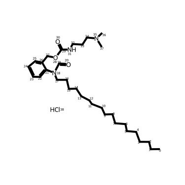 CCCCCCCCCCCCCCCCCCN(C=O)c1ccccc1COC(=O)NCCCN(C)C.Cl